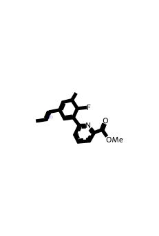 C/C=C/C1=CC(C)C(F)C(c2cccc(C(=O)OC)n2)=C1